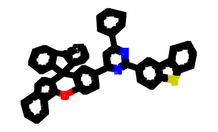 c1ccc(-c2cc(-c3ccc4c(c3)C3(c5ccccc5-c5ccccc53)c3ccc5ccccc5c3O4)nc(-c3ccc4sc5ccccc5c4c3)n2)cc1